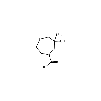 CC1(O)COCCN(C(=O)O)C1